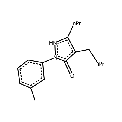 CCCc1[nH]n(-c2cccc(C)c2)c(=O)c1CC(C)C